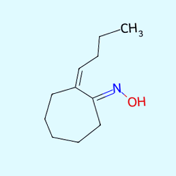 CCCC=C1CCCCCC1=NO